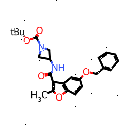 Cc1oc2ccc(OCc3ccccc3)cc2c1C(=O)NC1CN(C(=O)OC(C)(C)C)C1